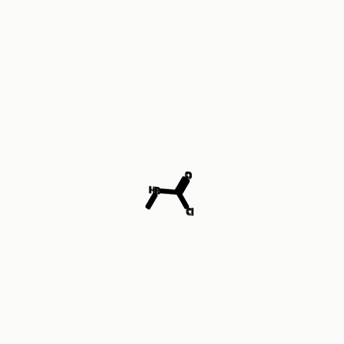 CBC(=O)Cl